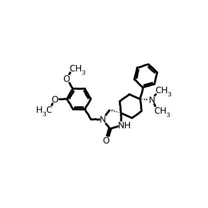 COc1ccc(CN2C[C@]3(CC[C@@](c4ccccc4)(N(C)C)CC3)NC2=O)cc1OC